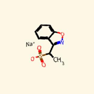 CC(c1noc2ccccc12)S(=O)(=O)[O-].[Na+]